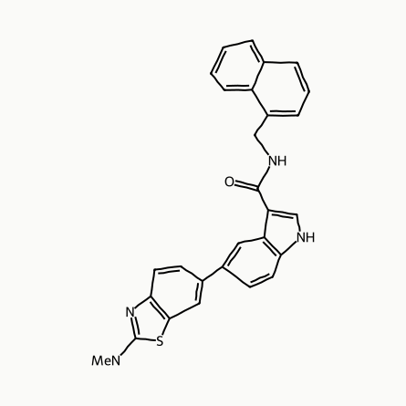 CNc1nc2ccc(-c3ccc4[nH]cc(C(=O)NCc5cccc6ccccc56)c4c3)cc2s1